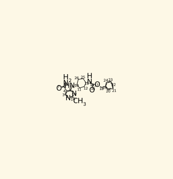 Cc1ncc(C(N)=O)c(N[C@H]2CC[C@@H](NC(=O)OCc3ccccc3)CC2)n1